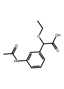 CCOC(C(=O)O)c1cccc(NC(C)=O)c1